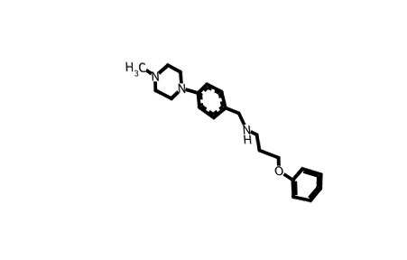 CN1CCN(c2ccc(CNCCCOC3=CC=C=C=C3)cc2)CC1